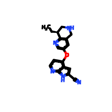 CC[C@H]1CNCc2cc(Oc3ccnc4[nH]c(C#N)cc34)cnc21